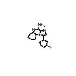 Nc1nc2ccccc2n2c(-c3cccc(F)c3)cnc12